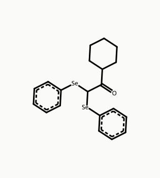 O=C(C1CCCCC1)C([Se]c1ccccc1)[Se]c1ccccc1